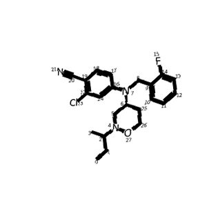 CCC(C)N1C[C@@H](N(Cc2ccccc2F)c2ccc(C#N)c(Cl)c2)CCO1